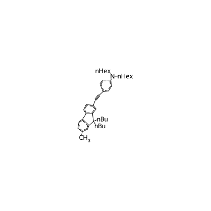 CCCCCCN(CCCCCC)c1ccc(C#Cc2ccc3c(c2)C(CCCC)(CCCC)c2cc(C)ccc2-3)cc1